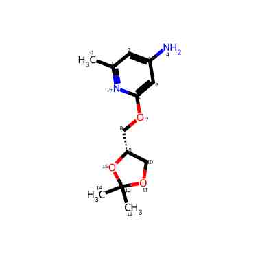 Cc1cc(N)cc(OC[C@@H]2COC(C)(C)O2)n1